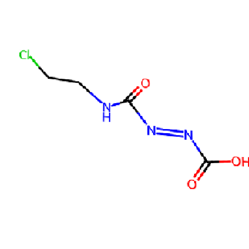 O=C(O)N=NC(=O)NCCCl